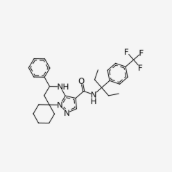 CCC(CC)(NC(=O)c1cnn2c1NC(c1ccccc1)CC21CCCCC1)c1ccc(C(F)(F)F)cc1